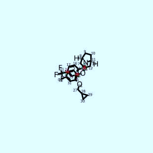 Cc1ccc(O[C@H]2C[C@H]3CC[C@@H](C2)N3Oc2ccc(C(F)(F)F)cn2)c(OCC2CC2)c1